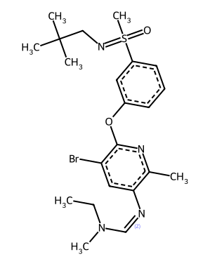 CCN(C)/C=N\c1cc(Br)c(Oc2cccc(S(C)(=O)=NCC(C)(C)C)c2)nc1C